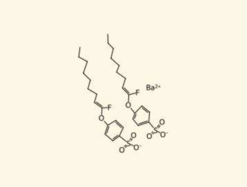 CCCCCCC/C=C(\F)Oc1ccc(S(=O)(=O)[O-])cc1.CCCCCCC/C=C(\F)Oc1ccc(S(=O)(=O)[O-])cc1.[Ba+2]